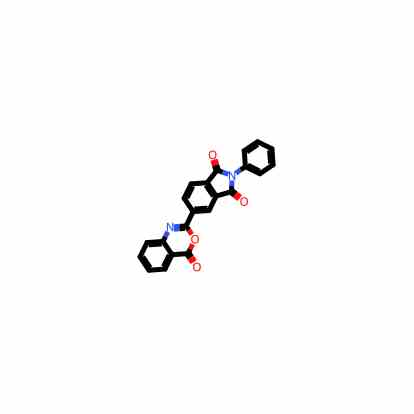 O=C1c2ccc(-c3nc4ccccc4c(=O)o3)cc2C(=O)N1c1ccccc1